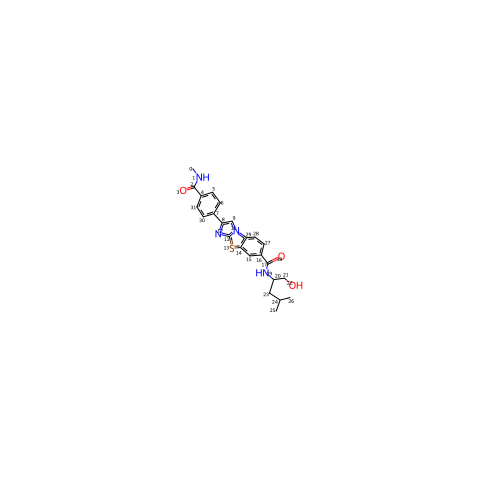 CNC(=O)c1ccc(-c2cn3c(n2)sc2cc(C(=O)NC(CO)CC(C)C)ccc23)cc1